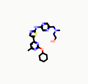 Cc1cc(-c2cnc(Nc3cnc(CN(C)CCO)cn3)s2)nc(OC2CCCCC2)n1